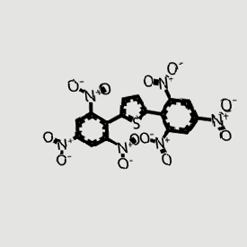 O=[N+]([O-])c1cc([N+](=O)[O-])c(-c2ccc(-c3c([N+](=O)[O-])cc([N+](=O)[O-])cc3[N+](=O)[O-])s2)c([N+](=O)[O-])c1